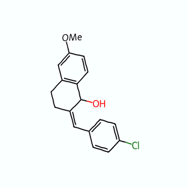 COc1ccc2c(c1)CC/C(=C/c1ccc(Cl)cc1)C2O